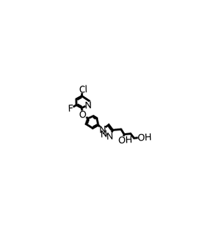 OCCC(O)Cc1cn(-c2ccc(Oc3ncc(Cl)cc3F)cc2)nn1